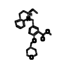 CC[C@@H]1CCc2ccccc2N1Cc1ccc(OCC2CCOCC2)c(C(=O)OC)c1